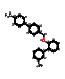 CC(C)c1cccc(-c2ccccc2OCc2ccc(-c3ccc(C(F)(F)F)cc3)cc2)c1